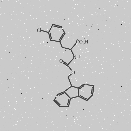 O=C(NC(Cc1cccc(Cl)c1)C(=O)O)OCC1c2ccccc2-c2ccccc21